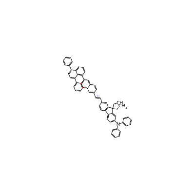 CCC1(CC)c2cc(/C=C/c3ccc4cc(-c5cccc6c(-c7ccccc7)ccc(-c7ccccc7)c56)ccc4c3)ccc2-c2ccc(N(c3ccccc3)c3ccccc3)cc21